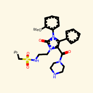 COc1ccccc1-n1c(-c2ccccc2)c(C(=O)N2CCNCC2)n(CCNS(=O)(=O)CC(C)C)c1=O